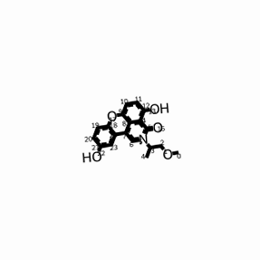 COCC(C)n1cc2c3c(ccc(O)c3c1=O)Oc1ccc(O)cc1-2